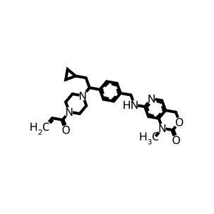 C=CC(=O)N1CCN(C(CC2CC2)c2ccc(CNc3cc4c(cn3)COC(=O)N4C)cc2)CC1